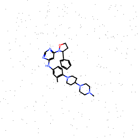 Cc1cc(Nc2cc(N3OCCC3c3ccccc3)ncn2)ccc1N1CCC(N2CCN(C)CC2)CC1